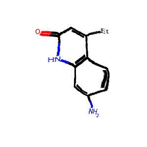 CCc1cc(=O)[nH]c2cc(N)ccc12